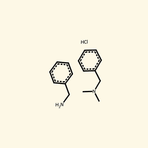 CN(C)Cc1ccccc1.Cl.NCc1ccccc1